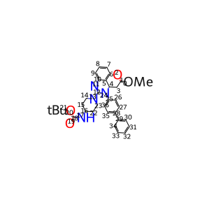 COC(=O)CC1c2ccccc2N=C(N2CCC(NC(=O)OC(C)(C)C)CC2)N1c1ccc(-c2ccccc2)cc1